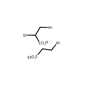 CCC(CC(C)=O)C(=O)O.CCOC(=O)CCC(C)=O